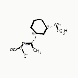 C/C(=N\[S+]([O-])C(C)(C)C)[C@@H]1CCC[C@H](NC(=O)O)C1